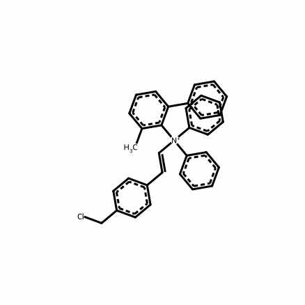 Cc1cccc(-c2ccccc2)c1[N+](C=Cc1ccc(CCl)cc1)(c1ccccc1)c1ccccc1